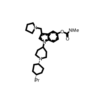 CNC(=O)Oc1ccc2c(c1)c(CN1CCCC1)cn2C1CCN([C@H]2CC[C@@H](C(C)C)CC2)CC1